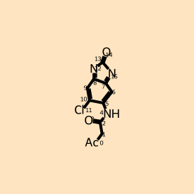 CC(=O)CC(=O)Nc1cc2c(cc1Cl)=NC(=O)N=2